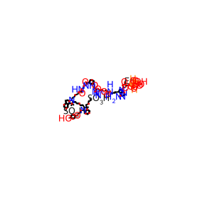 CCOC1CC(n2cc(C#CCNC(=O)COCCOC(COc3cccc(C(=O)NCCNC(=O)CCCCCN4/C(=C/C=C/C=C/C5N(CCCOc6ccc(O)cc6)c6ccccc6C5(C)CCCCS(=O)(=O)O)C(C)(C)c5c4ccc4ccc(S(=O)(=O)O)cc54)c3)N=[N+]=[N-])c3c(N)ncnc32)OC1CO[PH]1(O[PH]2(O[PH]3(O)OO3)OO2)OO1